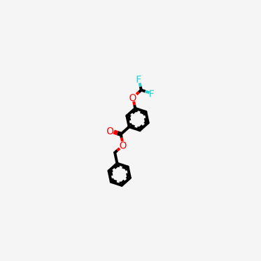 O=C(OCc1ccccc1)c1cccc(OC(F)F)c1